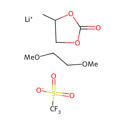 CC1COC(=O)O1.COCCOC.O=S(=O)([O-])C(F)(F)F.[Li+]